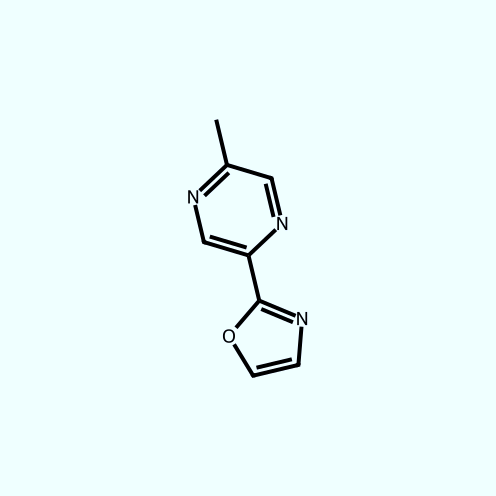 Cc1cnc(-c2ncco2)cn1